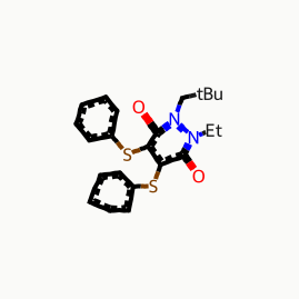 CCn1c(=O)c(Sc2ccccc2)c(Sc2ccccc2)c(=O)n1CC(C)(C)C